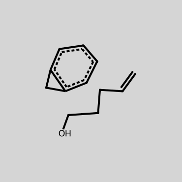 C=CCCCO.c1ccc2c(c1)C2